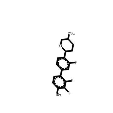 CCCCC1CCC(c2ccc(-c3ccc(CCC)c(F)c3F)cc2F)OC1